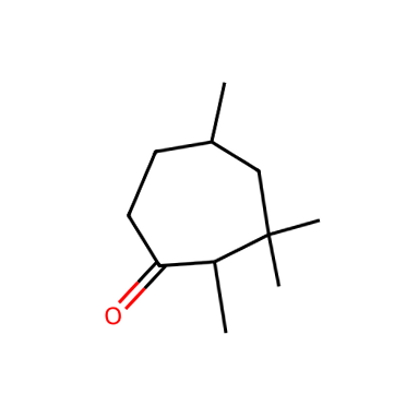 CC1CCC(=O)C(C)C(C)(C)C1